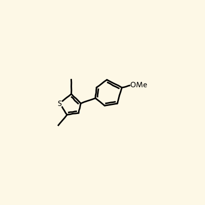 COc1ccc(-c2cc(C)sc2C)cc1